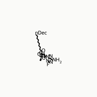 C#C[C@]1(CO)O[C@@H](n2cnc3c(N)nc(F)nc32)C[C@@H]1OC(=O)CCCCCCCCCCCCCCCCCCC